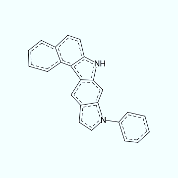 c1ccc(-n2ccc3cc4c(cc32)[nH]c2ccc3ccccc3c24)cc1